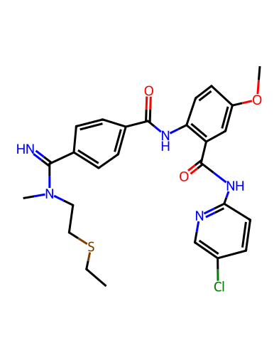 CCSCCN(C)C(=N)c1ccc(C(=O)Nc2ccc(OC)cc2C(=O)Nc2ccc(Cl)cn2)cc1